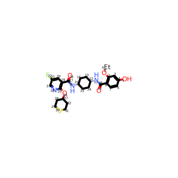 CCOc1cc(O)ccc1C(=O)N[C@H]1CC[C@@H](NC(=O)c2cc(F)cnc2OC2CCSCC2)CC1